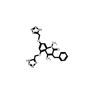 Cc1c(Cc2ccccc2)c(=O)n(C)c2cc(OCc3nnn[nH]3)cc(OCc3nnn[nH]3)c12